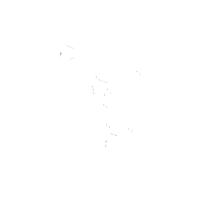 C=C(F)C(=O)N1CCN(c2nc(OCC3CCCN3C)nc(CCCc3ccccc3O)c2CCC)CC1CC#N